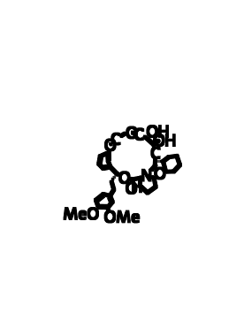 COc1ccc(CC[C@H]2OC(=O)[C@@H]3CCCCN3C(=O)[C@@H](C3CCCCC3)CC(O)C(O)COCCOc3cccc2c3)cc1OC